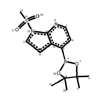 CC1(C)OB(c2ccnc3c2ccn3S(C)(=O)=O)OC1(C)C